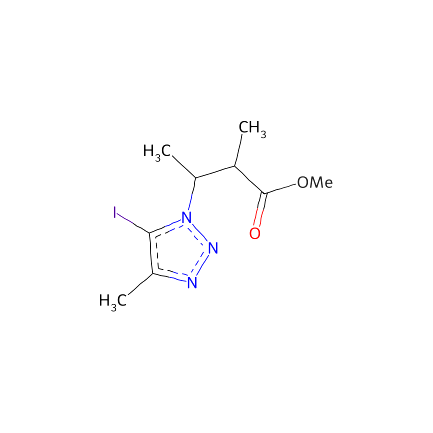 COC(=O)C(C)C(C)n1nnc(C)c1I